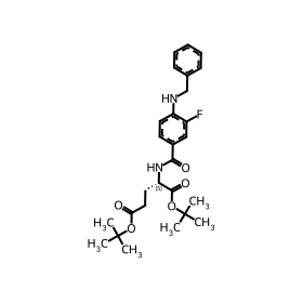 CC(C)(C)OC(=O)CC[C@H](NC(=O)c1ccc(NCc2ccccc2)c(F)c1)C(=O)OC(C)(C)C